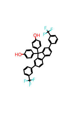 Oc1ccc(C2(c3ccc(O)cc3)c3cc(-c4cccc(C(F)(F)F)c4)ccc3-c3ccc(-c4cccc(C(F)(F)F)c4)cc32)cc1